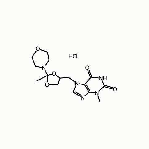 Cl.Cn1c(=O)[nH]c(=O)c2c1ncn2CC1COC(C)(N2CCOCC2)O1